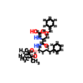 CC1(C)OB([C@H](CCCc2ccccc2)NC(=O)C(COCc2ccccc2)NC(=O)O)OC1(C)C